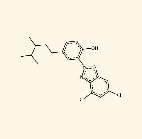 CC(C)C(C)CCc1ccc(O)c(-n2nc3cc(Cl)cc(Cl)c3n2)c1